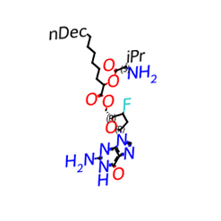 CCCCCCCCCCCCCCCCC(OC(=O)[C@@H](N)C(C)C)C(=O)OC[C@H]1O[C@@H](n2cnc3c(=O)[nH]c(N)nc32)CC1F